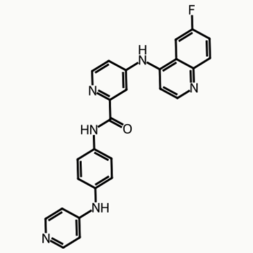 O=C(Nc1ccc(Nc2ccncc2)cc1)c1cc(Nc2ccnc3ccc(F)cc23)ccn1